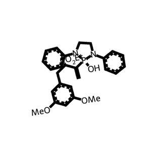 C=C(C(Cc1cc(OC)cc(OC)c1)C(=O)OCC)[P]1(O)N(c2ccccc2)CCN1c1ccccc1